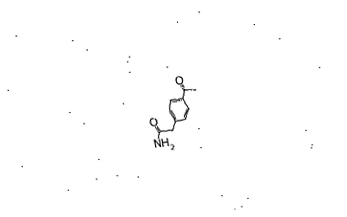 CC(=O)c1ccc(CC(N)=O)cc1